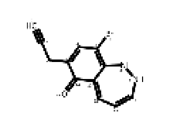 C#CCC1=CC(Br)=C2NNC=CC=C2C1=O